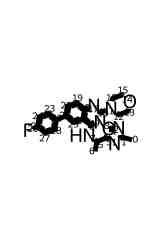 Cc1noc(C(C)Nc2nc(N3CCOCC3)nc3ccc(-c4ccc(F)cc4)cc23)n1